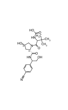 CC(C)(C)C(NC(=O)O)C(=O)N1C[C@H](O)C[C@H]1C(=O)NC(CO)c1ccc(C#N)cc1